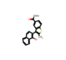 COC(=O)c1ccc2sc(C)c(-c3ccc4ccccc4c3Br)c2c1